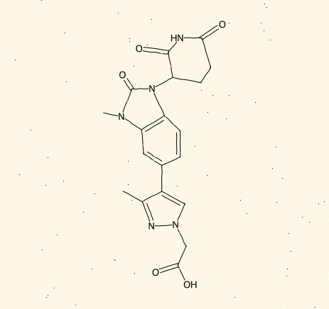 Cc1nn(CC(=O)O)cc1-c1ccc2c(c1)n(C)c(=O)n2C1CCC(=O)NC1=O